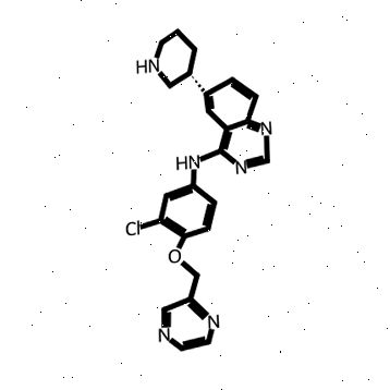 Clc1cc(Nc2ncnc3ccc([C@H]4CCCNC4)cc23)ccc1OCc1cnccn1